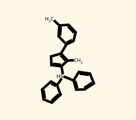 CC1=C(c2cccc(C)c2)CC=C1[SiH](c1ccccc1)c1ccccc1